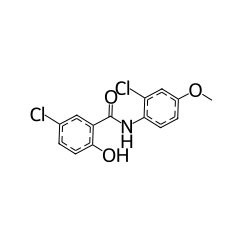 COc1ccc(NC(=O)c2cc(Cl)ccc2O)c(Cl)c1